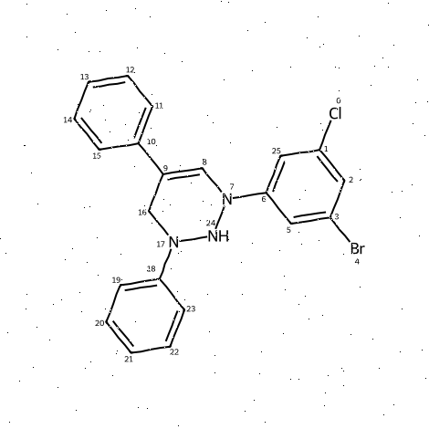 Clc1cc(Br)cc(N2C=C(c3ccccc3)CN(c3ccccc3)N2)c1